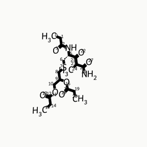 CCC(=O)N[C@@H](CSCC(COC(=O)CC)OC(=O)CC)C(=O)C(C)C(N)=O